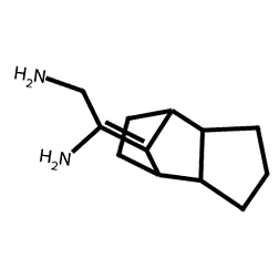 NCC(N)=C1C2CCC1C1CCCC21